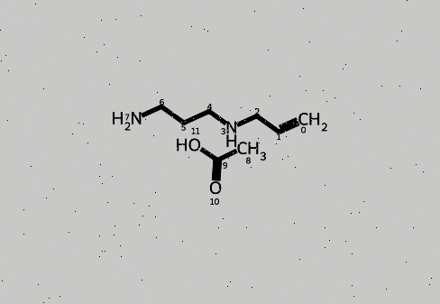 C=CCNCCCN.CC(=O)O